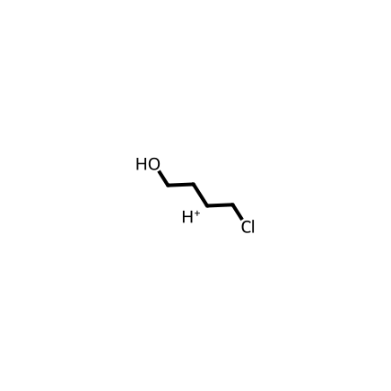 OCCCCCl.[H+]